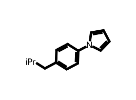 CC(C)Cc1ccc(-n2cccc2)cc1